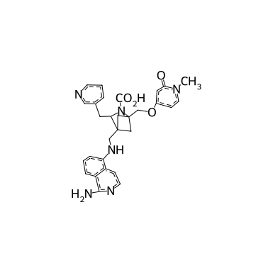 Cn1ccc(OCC23CC(CNc4cccc5c(N)nccc45)(C2)C(Cc2cccnc2)N3C(=O)O)cc1=O